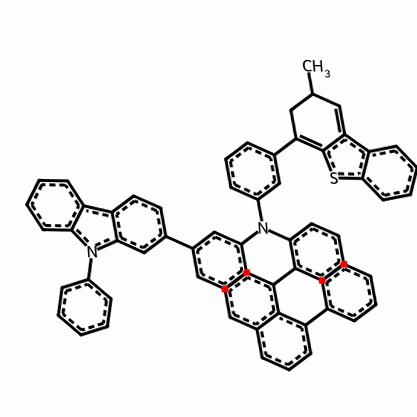 CC1C=c2c(sc3ccccc23)=C(c2cccc(N(c3cccc(-c4ccc5c6ccccc6n(-c6ccccc6)c5c4)c3)c3ccccc3-c3cccc4cccc(-c5ccccc5)c34)c2)C1